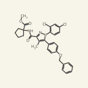 COC(=O)C1(NC(=O)c2nn(-c3ccc(Cl)cc3Cl)c(-c3ccc(OCc4ccccc4)cc3)c2C)CCCC1